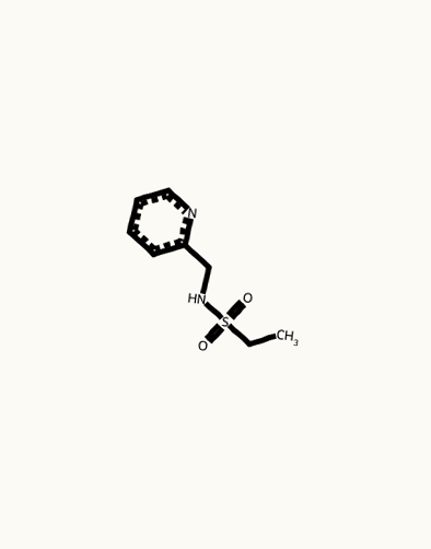 CCS(=O)(=O)NCc1ccccn1